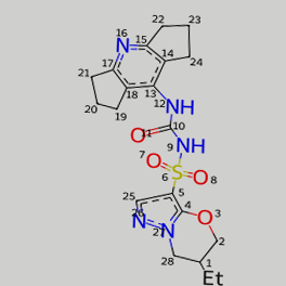 CCC1COc2c(S(=O)(=O)NC(=O)Nc3c4c(nc5c3CCC5)CCC4)cnn2C1